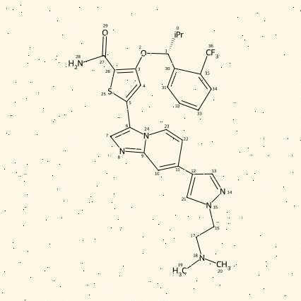 CC(C)[C@@H](Oc1cc(-c2cnc3cc(-c4cnn(CCN(C)C)c4)ccn23)sc1C(N)=O)c1ccccc1C(F)(F)F